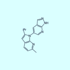 Cc1ccc2cc(C(C)C)n(-c3cnc4[nH]ncc4c3)c2n1